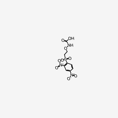 O=C(O)NOCCS(=O)(=O)c1ccc([N+](=O)[O-])cc1[N+](=O)[O-]